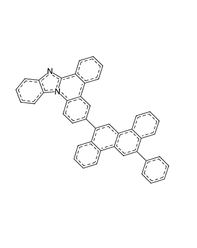 c1ccc(-c2cc3c4ccccc4c(-c4ccc5c(c4)c4ccccc4c4nc6ccccc6n54)cc3c3ccccc23)cc1